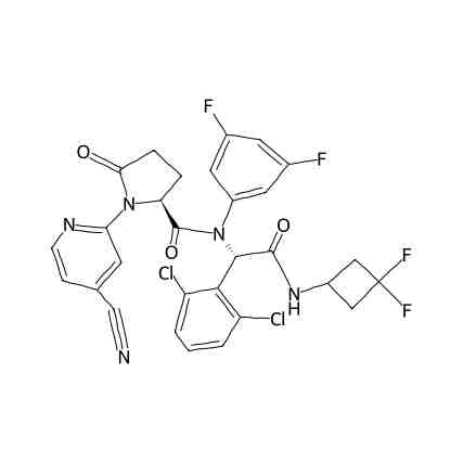 N#Cc1ccnc(N2C(=O)CC[C@H]2C(=O)N(c2cc(F)cc(F)c2)[C@H](C(=O)NC2CC(F)(F)C2)c2c(Cl)cccc2Cl)c1